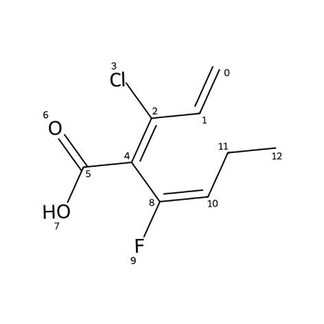 C=C/C(Cl)=C(C(=O)O)\C(F)=C/CC